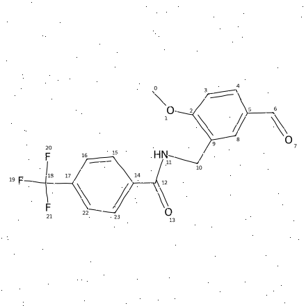 COc1ccc(C=O)cc1CNC(=O)c1ccc(C(F)(F)F)cc1